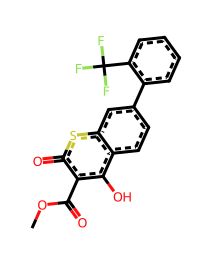 COC(=O)c1c(O)c2ccc(-c3ccccc3C(F)(F)F)cc2sc1=O